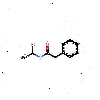 CCCC(CC)NC(=O)Cc1ccccc1